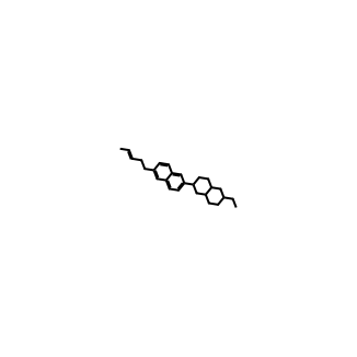 CC=CCCc1ccc2cc(C3CCC4CC(CC)CCC4C3)ccc2c1